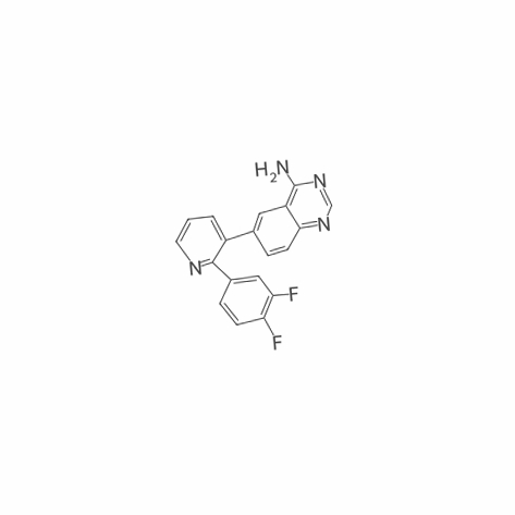 Nc1ncnc2ccc(-c3cccnc3-c3ccc(F)c(F)c3)cc12